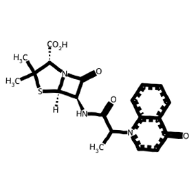 CC(C(=O)N[C@@H]1C(=O)N2[C@@H]1SC(C)(C)[C@@H]2C(=O)O)n1ccc(=O)c2ccccc21